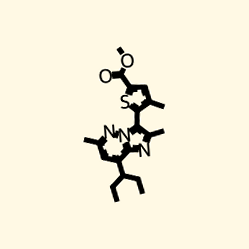 CCC(CC)c1cc(C)nn2c(-c3sc(C(=O)OC)cc3C)c(C)nc12